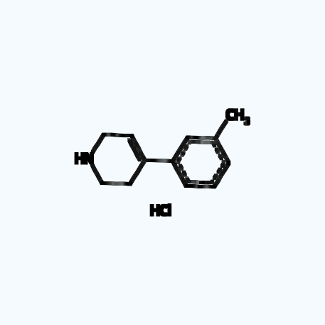 Cc1cccc(C2=CCNCC2)c1.Cl